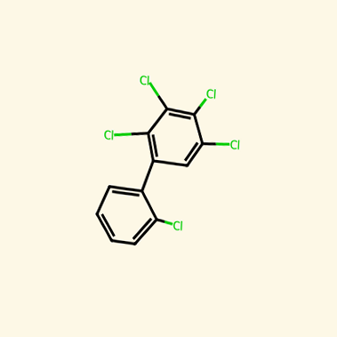 Clc1ccccc1-c1cc(Cl)c(Cl)c(Cl)c1Cl